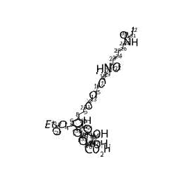 CCC(=O)OCc1cc(CCCOCCOCCOCCNC(=O)CCCCCNC(=O)CI)ccc1O[C@@H]1O[C@H](C(=O)O)[C@@H](O)[C@H](O)[C@H]1O